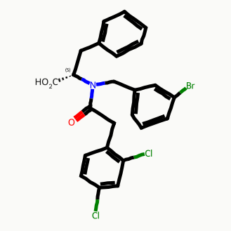 O=C(O)[C@H](Cc1ccccc1)N(Cc1cccc(Br)c1)C(=O)Cc1ccc(Cl)cc1Cl